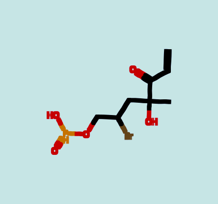 C=CC(=O)C(C)(O)CC(Br)CO[PH](=O)O